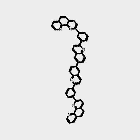 c1cc(-c2ccc3cc(-c4ccc5nc(-c6cccc(-c7ccc8ccc9cccnc9c8n7)c6)ccc5c4)ccc3n2)cc(-c2ccc3ccc4cccnc4c3n2)c1